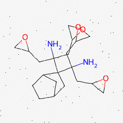 NC(CC1CO1)(CC1CO1)C1(C(N)(CC2CO2)CC2CO2)CC2CCC1C2